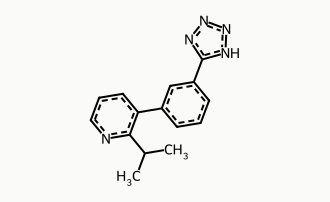 CC(C)c1ncccc1-c1cccc(-c2nnn[nH]2)c1